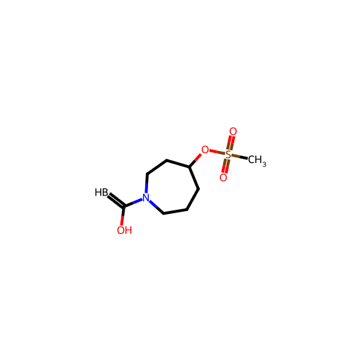 B=C(O)N1CCCC(OS(C)(=O)=O)CC1